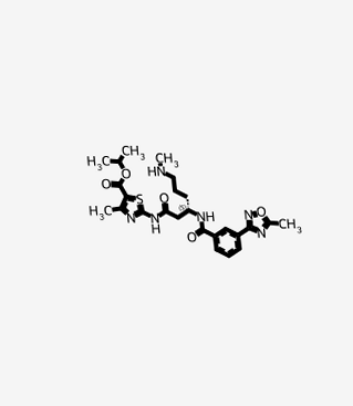 CNCCC[C@@H](CC(=O)Nc1nc(C)c(C(=O)OC(C)C)s1)NC(=O)c1cccc(-c2noc(C)n2)c1